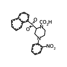 O=C(O)N1CCN(c2ccccc2[N+](=O)[O-])CC1S(=O)(=O)c1cccc2ccccc12